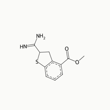 COC(=O)c1cccc2c1CC(C(=N)N)S2